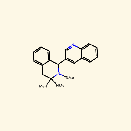 CNN1C(c2cnc3ccccc3c2)c2ccccc2CC1(NC)NC